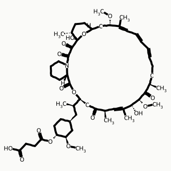 CO[C@H]1C[C@@H]2CC[C@@H](C)[C@@](O)(O2)C(=O)C(=O)N2CCCC[C@H]2C(=O)O[C@H]([C@H](C)C[C@@H]2CC[C@@H](OC(=O)CCC(=O)O)[C@H](OC)C2)CC(=O)[C@H](C)/C=C(\C)[C@@H](O)[C@@H](OC)C(=O)[C@H](C)CC/C=C/C=C/C=C/1C